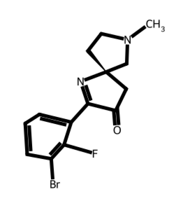 CN1CC[C@]2(CC(=O)C(c3cccc(Br)c3F)=N2)C1